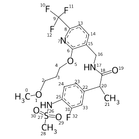 COCCCOc1nc(C(F)(F)F)ccc1CNC(=O)C(C)c1ccc(NS(C)(=O)=O)c(F)c1